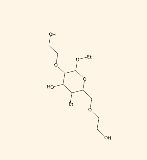 CCOC1OC(COCCO)C(CC)C(O)C1OCCO